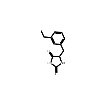 CCc1cccc(CC2NC(=O)NC2=O)c1